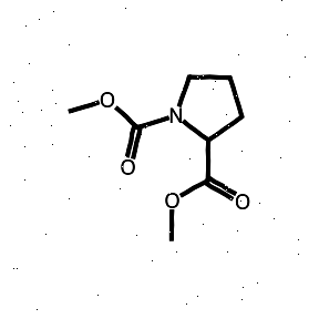 COC(=O)C1CCCN1C(=O)OC